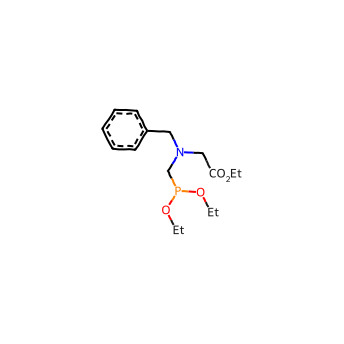 CCOC(=O)CN(Cc1ccccc1)CP(OCC)OCC